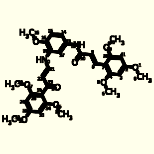 COc1cc(OC)c(C=CC(=O)Nc2ccc(OC)c(NC=CC(=O)c3c(OC)cc(OC)cc3OC)c2)c(OC)c1